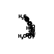 CCOC(=O)c1sc2c(NC(=O)c3ccc(N4CCN(C)CC4)cc3)ncn2c1C(F)(F)F